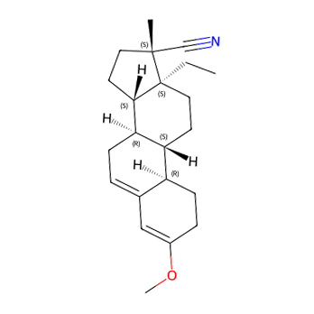 CC[C@]12CC[C@H]3[C@@H](CC=C4C=C(OC)CC[C@@H]43)[C@@H]1CC[C@]2(C)C#N